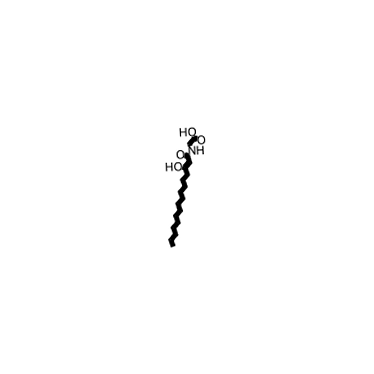 CCCCCCCCCCCCCC(O)=CC(=O)NCC(=O)O